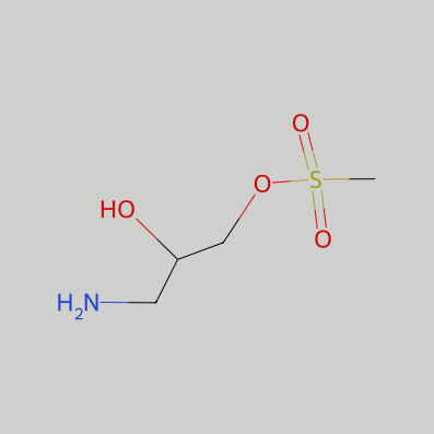 CS(=O)(=O)OCC(O)CN